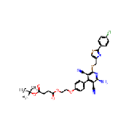 CC(C)(C)OC(=O)CCC(=O)OCCOc1ccc(-c2c(C#N)c(N)nc(SCc3csc(-c4ccc(Cl)cc4)n3)c2C#N)cc1